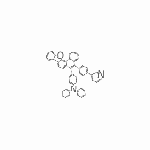 c1ccc(N(c2ccccc2)c2ccc(-c3c(-c4ccc(-c5cccnc5)cc4)c4ccccc4c4c3ccc3c5ccccc5oc34)cc2)cc1